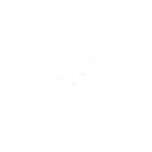 CCCC[N+](CCCC)(CCCC)CCCC.CO.[F-]